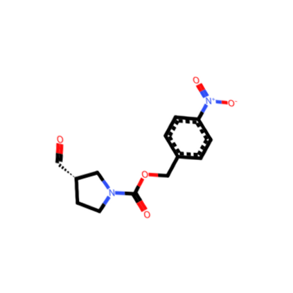 O=C[C@H]1CCN(C(=O)OCc2ccc([N+](=O)[O-])cc2)C1